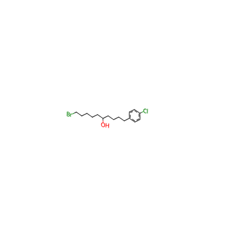 OC(CCCCCBr)CCCCc1ccc(Cl)cc1